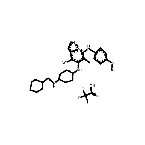 CCOc1ccc(Nc2c(C)c(NC3CCC(NCC4CCCCC4)CC3)c(C#N)c3ccnn23)cc1.O=C(O)C(F)(F)F